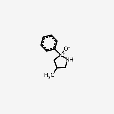 CC1CN[N+]([O-])(c2ccccc2)C1